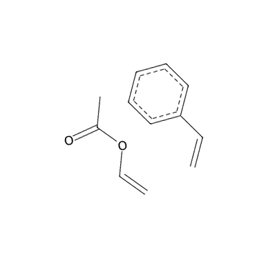 C=COC(C)=O.C=Cc1ccccc1